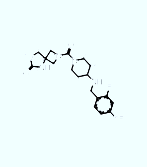 O=C1NC2(CO1)CN(C(=O)N1CCC(NCc3ccc(C(F)(F)F)cc3F)CC1)C2